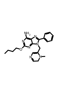 CCCCOc1nc(N)c2nc(-c3ccccc3)n(CC3=CN=CCN3C)c2n1